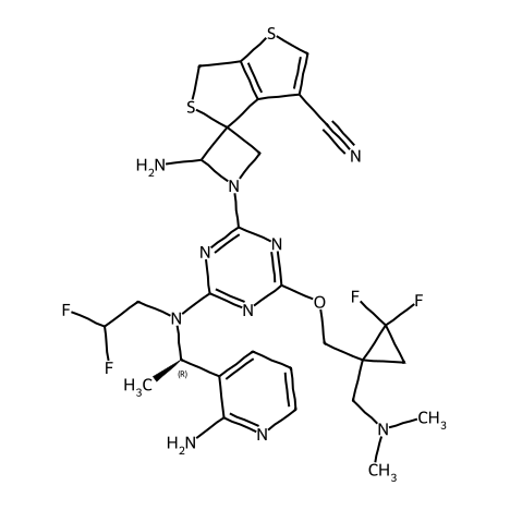 C[C@H](c1cccnc1N)N(CC(F)F)c1nc(OCC2(CN(C)C)CC2(F)F)nc(N2CC3(SCc4scc(C#N)c43)C2N)n1